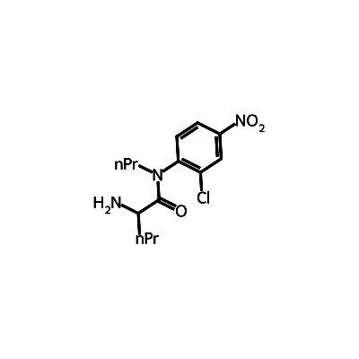 CCCC(N)C(=O)N(CCC)c1ccc([N+](=O)[O-])cc1Cl